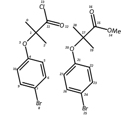 CC(C)(Oc1ccc(Br)cc1)C(=O)Cl.COC(=O)C(C)(C)Oc1ccc(Br)cc1